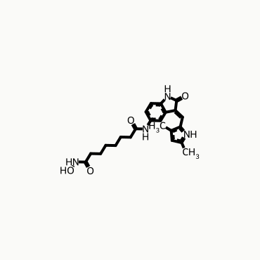 Cc1cc(C)c(C=C2C(=O)Nc3ccc(NC(=O)CCCCCCC(=O)NO)cc32)[nH]1